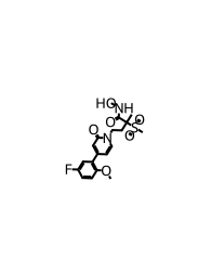 COc1ccc(F)cc1-c1ccn(CCC(C)(C(=O)NO)S(C)(=O)=O)c(=O)c1